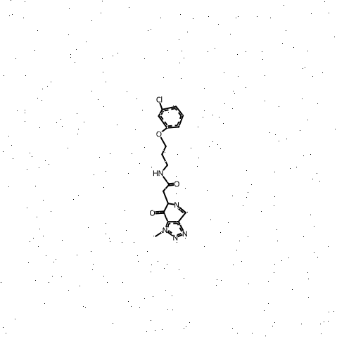 Cn1nnc2c1C(=O)C(CC(=O)NCCCOc1cccc(Cl)c1)N=C2